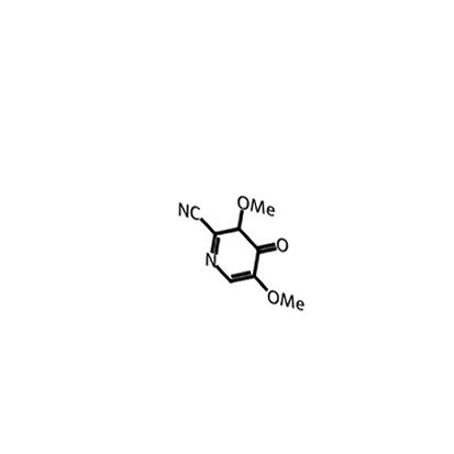 COC1=CN=C(C#N)C(OC)C1=O